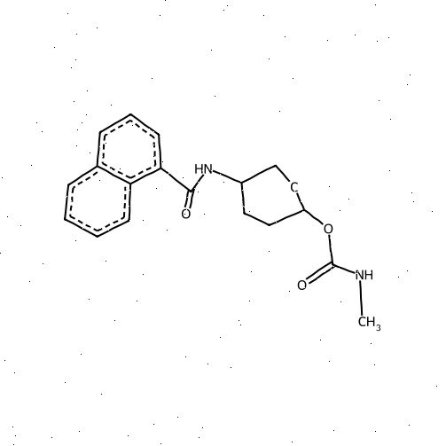 CNC(=O)OC1CCC(NC(=O)c2cccc3ccccc23)CC1